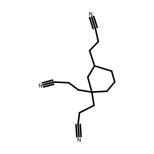 N#CCCC1CCCC(CCC#N)(CCC#N)C1